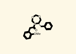 COc1ccccc1CC(=O)N1COCOC[C@@H]1Cc1ccccc1